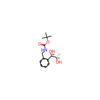 C[C@H](O)[C@H](O)c1ccccc1CNC(=O)OC(C)(C)C